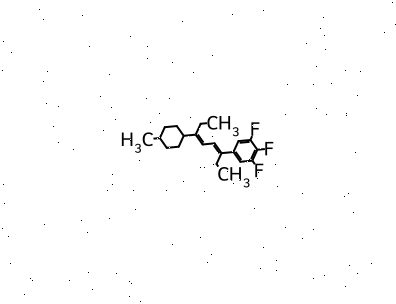 CC/C(=C\C=C(/CC)C1CCC(C)CC1)c1cc(F)c(F)c(F)c1